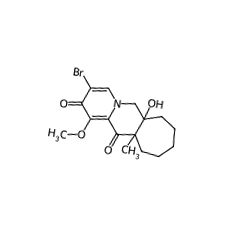 COc1c2n(cc(Br)c1=O)CC1(O)CCCCCC1(C)C2=O